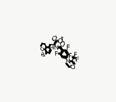 COC(=O)[C@H](Cc1ccc(Br)c2c1CCCO2)NC(=O)c1c(F)cc(N2CCOC[C@@H]2C(F)(F)F)cc1F